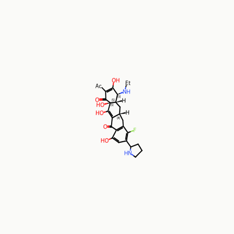 CCN[C@@H]1C(O)=C(C(C)=O)C(=O)[C@@]2(O)C(O)=C3C(=O)c4c(O)cc(C5CCCN5)c(F)c4C[C@H]3C[C@@H]12